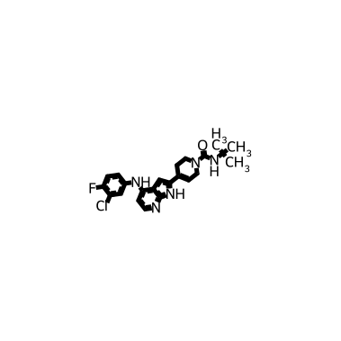 CC(C)(C)NC(=O)N1CC=C(c2cc3c(Nc4ccc(F)c(Cl)c4)ccnc3[nH]2)CC1